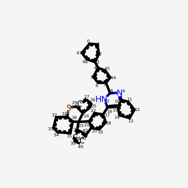 c1ccc(-c2ccc(C3N=c4ccccc4=C(c4ccc5c(c4)C4(c6ccccc6Sc6ccccc64)c4ccccc4-5)N3)cc2)cc1